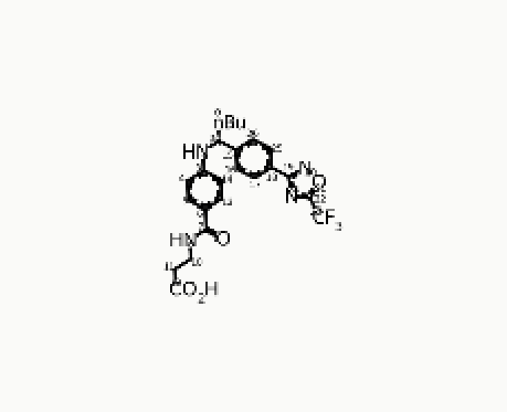 CCCC[C@H](Nc1ccc(C(=O)NCCC(=O)O)cc1)c1ccc(-c2noc(C(F)(F)F)n2)cc1